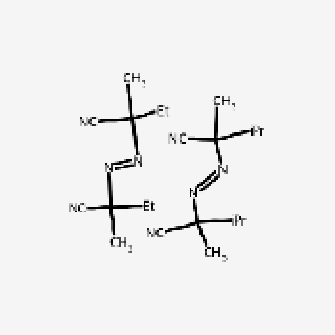 CC(C)C(C)(C#N)N=NC(C)(C#N)C(C)C.CCC(C)(C#N)N=NC(C)(C#N)CC